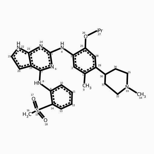 Cc1cc(Nc2nc(Nc3ccccc3S(C)(=O)=O)c3cc[nH]c3n2)c(OC(C)C)cc1C1CCN(C)CC1